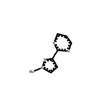 CCC(C)n1ccc(-c2ncccn2)n1